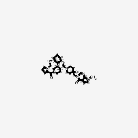 CSCn1cccc1C(=O)N1CC[C@@H](C(=O)N2CCC(O)(Cn3cnc4c(ccn4C)c3=O)CC2)[C@H](c2ccccc2)C1